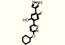 Oc1cc(-c2cn[nH]c2)c(F)cc1-c1ccc(OC2CCCCC2)nn1